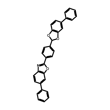 c1ccc(-c2ccc3c(c2)OC(c2ccc(-c4nc5ccc(-c6ccccc6)cc5o4)cc2)O3)cc1